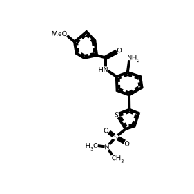 COc1ccc(C(=O)Nc2cc(-c3ccc(S(=O)(=O)N(C)C)s3)ccc2N)cc1